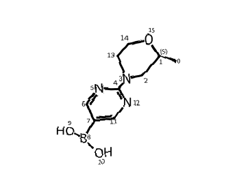 C[C@H]1CN(c2ncc(B(O)O)cn2)CCO1